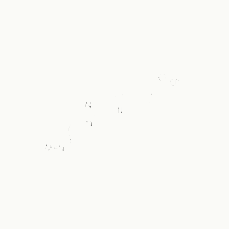 CNC1CCN(c2cnc(Sc3cccc(OC(F)(F)F)c3)cn2)CC1